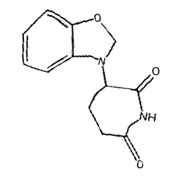 O=C1CCC(N2COc3ccccc32)C(=O)N1